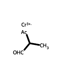 CC(=O)C(C)C=O.[Cr+3]